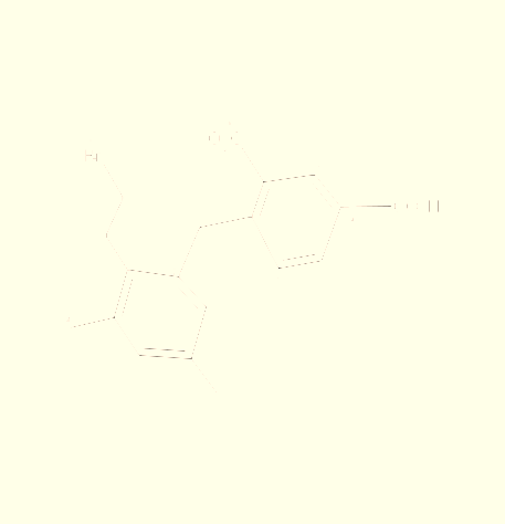 Cc1cc(C)c(CCBr)c(Cc2ccc(C(=O)O)cc2C(=O)O)c1